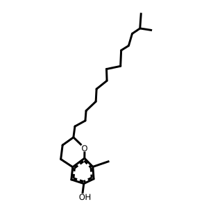 Cc1cc(O)cc2c1OC(CCCCCCCCCCCC(C)C)CC2